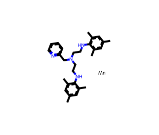 Cc1cc(C)c(NCCN(CCNc2c(C)cc(C)cc2C)Cc2ccccn2)c(C)c1.[Mn]